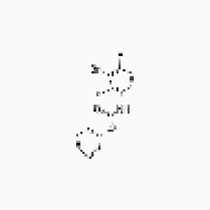 O=C(Nc1ccc(F)c(Br)c1F)Oc1ccccc1